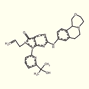 C=CCn1c(=O)c2cnc(Nc3ccc4c(c3)CCN3CCOCC43)nc2n1-c1cccc(C(C)(C)O)n1